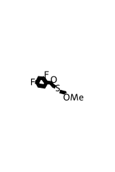 COCCSCC(=O)c1ccc(F)cc1F